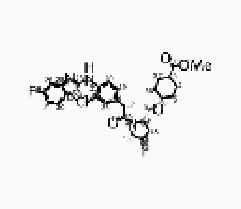 COC(=O)[C@H]1CC[C@H](OC[C@@H]2C[C@H](F)CN2C(=O)Cc2ccc(Nc3nc4cc(F)ccc4o3)c(Cl)c2)CC1